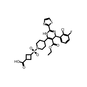 CCOC(=O)C1=C(C2CCN(S(=O)(=O)C3CC(C(=O)O)C3)CC2)NC(c2nccs2)=NC1c1cccc(F)c1Cl